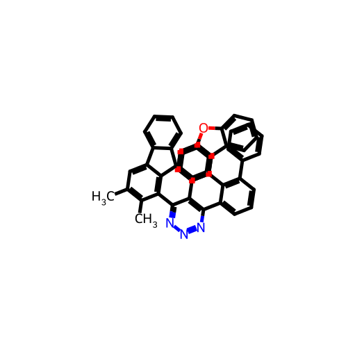 Cc1cc2c(c(-c3nnnc(-c4cccc(-c5ccccc5)c4-c4cccc5oc6ccccc6c45)c3-c3ccccc3)c1C)Cc1ccccc1-2